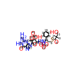 CC(C)(CO)C(=O)SCCOP(=O)(NCc1ccccc1)OC[C@H]1O[C@@H](n2cnc3c(=O)[nH]c(N)nc32)C(C)(OC=O)C1O